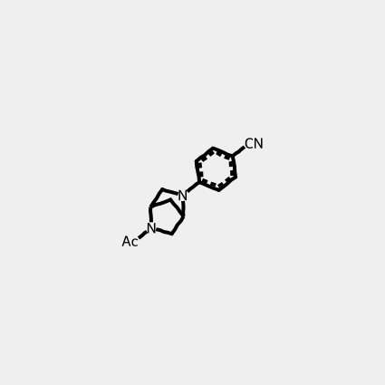 CC(=O)N1CC2CC1CN2c1ccc(C#N)cc1